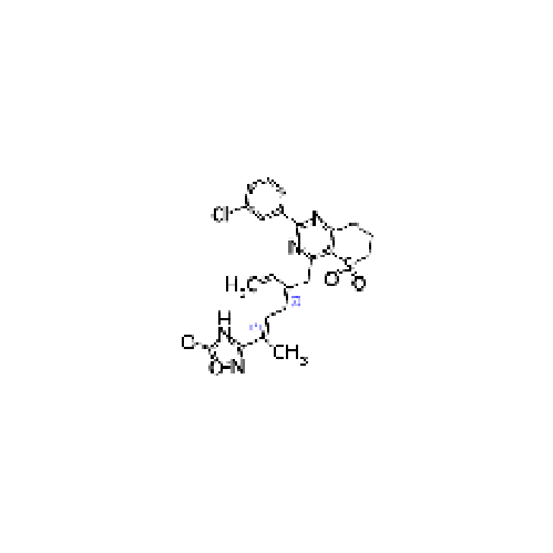 C=C/C(=C\C=C(/C)c1noc(=O)[nH]1)Cc1nc(-c2cccc(Cl)c2)nc2c1S(=O)(=O)CCC2